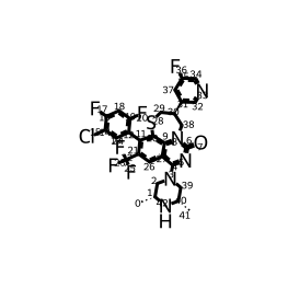 C[C@@H]1CN(c2nc(=O)n3c4c(c(-c5cc(Cl)c(F)cc5F)c(C(F)(F)F)cc24)SC[C@@H](c2cncc(F)c2)C3)C[C@H](C)N1